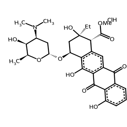 CC[C@@]1(O)C[C@H](O[C@H]2C[C@H](N(C)C)[C@H](O)[C@H](C)O2)c2c(cc3c(c2O)C(=O)c2c(O)cccc2C3=O)[C@H]1C(=O)OC.Cl